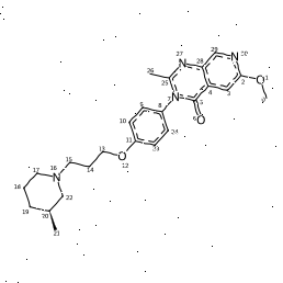 COc1cc2c(=O)n(-c3ccc(OCCCN4CCC[C@H](C)C4)cc3)c(C)nc2cn1